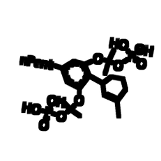 CCCCCc1cc(OC(C)(C)OP(=O)(O)O)c(C2C=C(C)CCC2)c(OC(C)(C)OP(=O)(O)O)c1